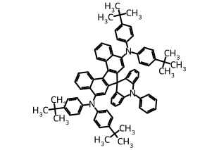 CC(C)(C)c1ccc(N(c2ccc(C(C)(C)C)cc2)c2cc3c(c4ccccc24)-c2c(cc(N(c4ccc(C(C)(C)C)cc4)c4ccc(C(C)(C)C)cc4)c4ccccc24)C32c3ccccc3N(c3ccccc3)c3ccccc32)cc1